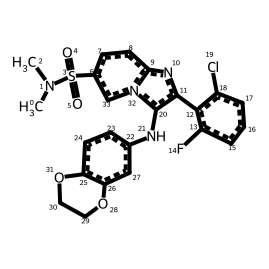 CN(C)S(=O)(=O)c1ccc2nc(-c3c(F)cccc3Cl)c(Nc3ccc4c(c3)OCCO4)n2c1